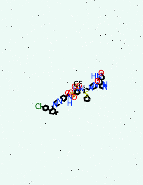 CC1(C)CCC(c2ccc(Cl)cc2)=C(CN2CCN(c3ccc(C(=O)NS(=O)(=O)c4ccc(N[C@H](CCN5CCN(Cc6ccnnc6C6CCC(=O)NC6=O)CC5)CSc5ccccc5)c(S(=O)(=O)C(F)(F)F)c4)cc3)CC2)C1